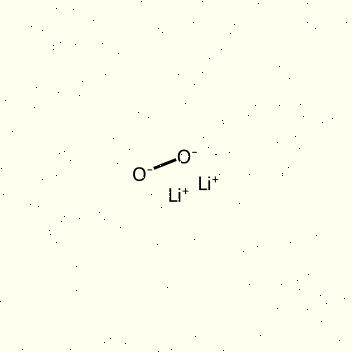 [Li+].[Li+].[O-][O-]